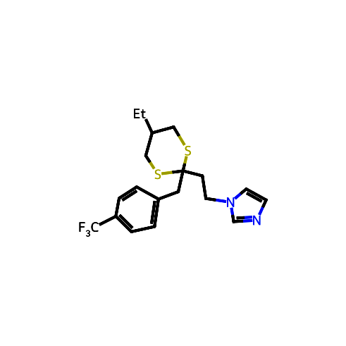 CCC1CSC(CCn2ccnc2)(Cc2ccc(C(F)(F)F)cc2)SC1